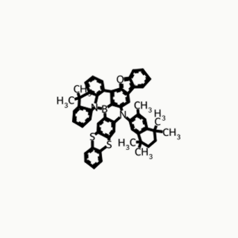 Cc1cc2c(cc1N1c3cc4c(cc3B3c5c1cc1c(oc6ccccc61)c5-c1cccc5c1N3c1ccccc1C5(C)C)Sc1ccccc1S4)C(C)(C)CCC2(C)C